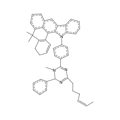 C/C=C\CCCC1=NC(c2ccccc2)N(C)C(c2ccc(-n3c4ccccc4c4cc5cccc6c5c(c43)C3=C(CCC=C3)C6(C)C)cc2)=N1